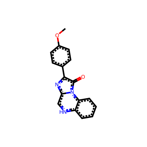 COc1ccc(-c2nc3c[nH]c4ccccc4n-3c2=O)cc1